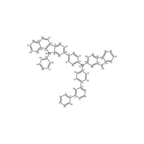 c1ccc(-c2cccc(-c3ccc(N(c4ccc(-c5ccc6c7ccc8ccccc8c7n(-c7ccccc7)c6c5)cc4)c4ccc5c(c4)sc4ccccc45)cc3)c2)cc1